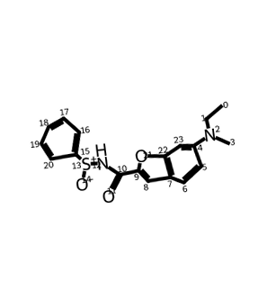 CCN(C)c1ccc2cc(C(=O)N[S+]([O-])c3ccccc3)oc2c1